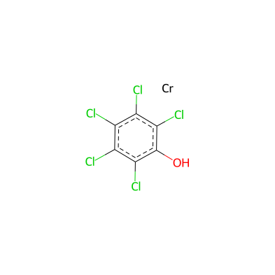 Oc1c(Cl)c(Cl)c(Cl)c(Cl)c1Cl.[Cr]